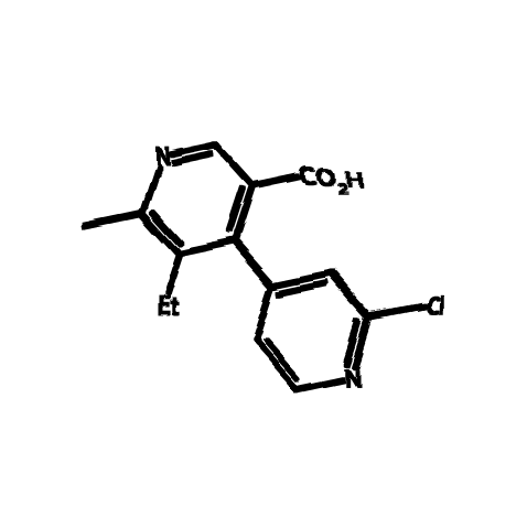 CCc1c(C)ncc(C(=O)O)c1-c1ccnc(Cl)c1